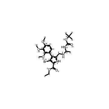 CCOC(=O)c1[nH]c(CNC(C)NC(=O)OC(C)(C)C)c(-c2ccc(OC)c(OC)c2OC)c1Br